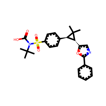 CC1(C)[C@H](c2ccc(S(=O)(=O)N(C(=O)O)C(C)(C)C)cc2)[C@H]1c1cnc(-c2ccccc2)o1